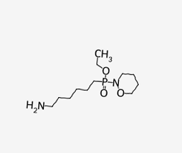 CCOP(=O)(CCCCCCN)N1CCCCO1